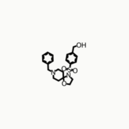 O=S(=O)(c1ccc(CO)cc1)N1CCOC12CCN(Cc1ccccc1)CC2